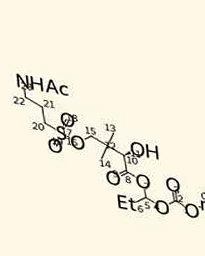 CCCCOC(=O)OC(CC)OC(=O)[C@H](O)C(C)(C)COS(=O)(=O)CCCNC(C)=O